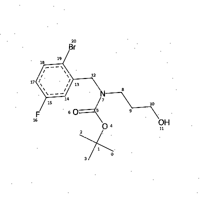 CC(C)(C)OC(=O)N(CCCO)Cc1cc(F)ccc1Br